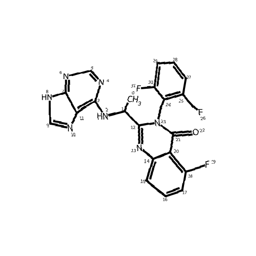 CC(Nc1ncnc2[nH]cnc12)c1nc2cccc(F)c2c(=O)n1-c1c(F)cccc1F